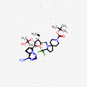 C=C[C@H]1[C@@H](OC(C)(C)O)[C@H](c2ccc3c(N)ncnn23)O[C@@H]1CN1C(C(F)(F)F)CCC12CCN(C(=O)OC(C)(C)C)CC2